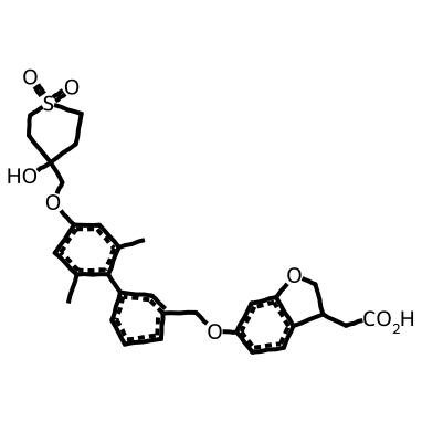 Cc1cc(OCC2(O)CCS(=O)(=O)CC2)cc(C)c1-c1cccc(COc2ccc3c(c2)OCC3CC(=O)O)c1